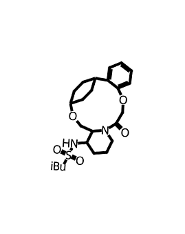 CCC(C)S(=O)(=O)NC1CCCN2C(=O)COc3ccccc3C3CCC(CC3)OCC12